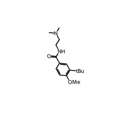 COc1ccc(C(=O)NCCN(C)C)cc1C(C)(C)C